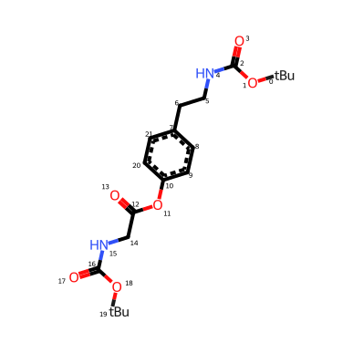 CC(C)(C)OC(=O)NCCc1ccc(OC(=O)CNC(=O)OC(C)(C)C)cc1